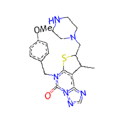 COc1ccc(Cn2c3c(c4ncnn4c2=O)C(C)C(CN2CCNCC2)S3)cc1